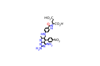 Cc1nc2nc(N)nc(N)c2c(-c2ccc([N+](=O)[O-])cc2)c1CNc1ccc(C(=O)N[C@@H](CCC(=O)O)C(=O)O)cc1